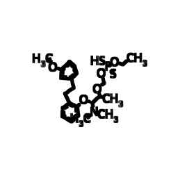 CCOP(=S)(S)OCOC(C)[C@H](Oc1ccccc1CCc1cccc(OC)c1)N(C)C